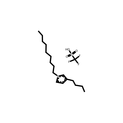 CCCCCCCCCn1ccc(CCCC)c1.O=S(=O)(O)C(F)(F)F